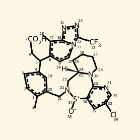 Cc1ccc(C(CC(=O)O)c2ccn3c(C(F)(F)F)nnc3c2C)cc1CN1C[C@@H]2CCCCN2c2ncc(Cl)cc2[S+]1[O-]